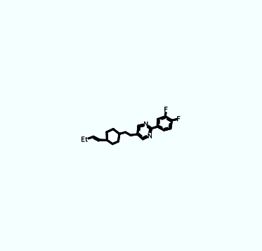 CCC=CC1CCC(CCc2cnc(-c3ccc(F)c(F)c3)nc2)CC1